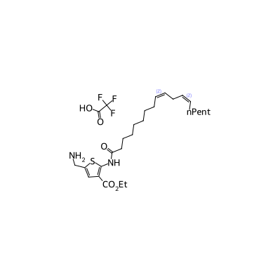 CCCCC/C=C\C/C=C\CCCCCCCC(=O)Nc1sc(CN)cc1C(=O)OCC.O=C(O)C(F)(F)F